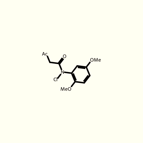 COc1ccc(OC)c(N(Cl)C(=O)CC(C)=O)c1